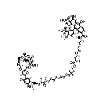 CC(C)(CCOC(=O)NCCOCCOCCNC(=O)c1ccc(C(=O)O)c(-c2c3ccc(=N)c(S(=O)(=O)O)c-3oc3c(S(=O)(=O)O)c(N)ccc23)c1)SSCOCCCCCNC(=O)NCC#Cc1cn([C@H]2C[C@@H](OCN=[N+]=[N-])[C@@H](COP(=O)(O)OP(=O)(O)OP(=O)(O)O)O2)c(=O)nc1N